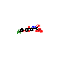 NC(CO)(CCc1ccc2oc3cc(Oc4cccc(C(F)(F)F)c4)ccc3c(=O)c2c1)COP(=O)(O)O